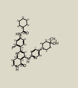 CC1(O)CCN(c2ccc(Nc3cc(-c4ccc(NC(=O)C5CCCCC5)cc4F)nc4cc[nH]c(=O)c34)nc2)CC1